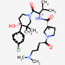 CC(C)[C@@H](NC(=O)[C@@H]1CCN(C(=O)CCCN(C)C)C1)C(=O)N1CC[C@](O)(c2ccc(Cl)cc2)C(C)(C)C1